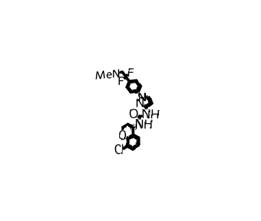 CNCC(F)(F)c1ccc(-n2ccc(NC(=O)N[C@H]3CCOc4c(Cl)cccc43)n2)cc1